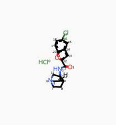 Cl.O=C(N[C@H]1CN2CCC1CC2)c1cc2cc(Cl)ccc2o1